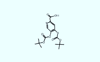 CC(C)(C)OC(=O)Oc1cnc(C(=O)O)cc1OC(=O)OC(C)(C)C